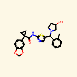 Cc1ccccc1[C@@H](c1cnc(NC(=O)C2(c3ccc4c(c3)OCO4)CC2)s1)N1CC[C@@H](O)C1